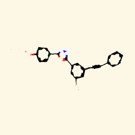 CCCCCCCCOc1ccc(-c2nnc(-c3cc(Br)cc(C#Cc4ccccc4)c3)o2)cc1